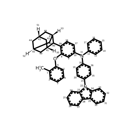 Cc1ccccc1Oc1cc(N(c2ccccc2)c2ccc(-n3c4ccccc4c4ccccc43)cc2)ccc1C1[C@H]2C[C@@H]3C[C@@H](C[C@@H]1C3)C2